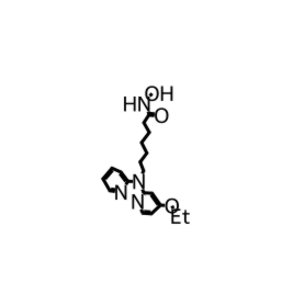 CCOc1ccnc(N(CCCCCCC(=O)NO)c2ccccn2)c1